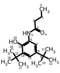 CCCC(=O)Nc1cc(C(C)(C)C)cc(C(C)(C)C)c1O